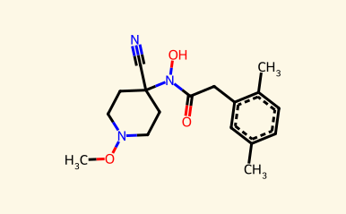 CON1CCC(C#N)(N(O)C(=O)Cc2cc(C)ccc2C)CC1